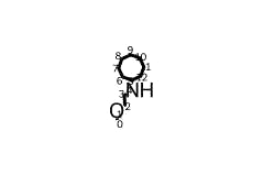 COCCNC1CCCCCCC1